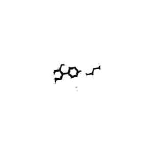 CC(N)CC(C)COc1ccc2c(c1)OCc1cnc(N)cc1-2.Cl.Cl